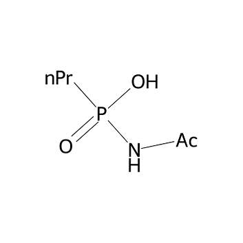 CCCP(=O)(O)NC(C)=O